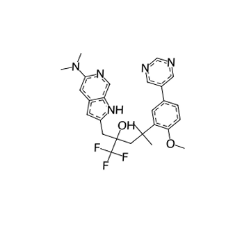 COc1ccc(-c2cncnc2)cc1C(C)(C)CC(O)(Cc1cc2cc(N(C)C)ncc2[nH]1)C(F)(F)F